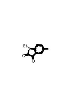 CCN1C(=O)C(=O)c2cc(C)ccc21